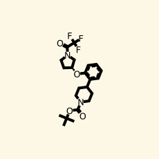 CC(C)(C)OC(=O)N1CCC(c2ccccc2O[C@H]2CCN(C(=O)C(F)(F)F)C2)CC1